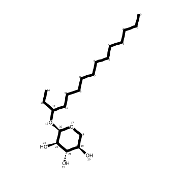 CCCCCCCCCCCCC(CC)O[C@H]1OC[C@@H](O)[C@H](O)[C@H]1O